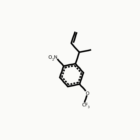 C=C[C](C)c1cc(OC(F)(F)F)ccc1[N+](=O)[O-]